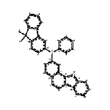 CC1(C)c2ccccc2-c2cc(N(c3ccccc3)c3ccc4ccc5c6ccccc6oc5c4c3)ccc21